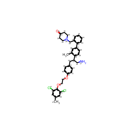 Cc1cc(Cl)c(OCCOc2ccc(CC(CN)c3ccc(-c4ccccc4CN4CCC(=O)CC4)cc3C)cc2)c(Cl)c1